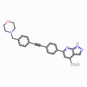 CCOC(=O)c1cc(-c2ccc(C#Cc3ccc(CN4CCOCC4)cc3)cc2)nc2[nH]ncc12